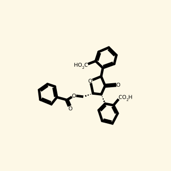 O=C(OC[C@@H]1OC(c2ccccc2C(=O)O)C(=O)[C@@H]1c1ccccc1C(=O)O)c1ccccc1